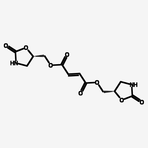 O=C(/C=C/C(=O)OC[C@@H]1CNC(=O)O1)OC[C@@H]1CNC(=O)O1